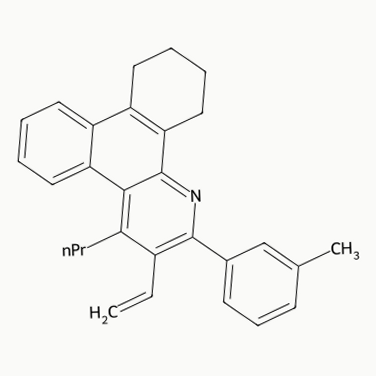 C=Cc1c(-c2cccc(C)c2)nc2c3c(c4ccccc4c2c1CCC)CCCC3